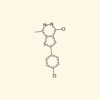 Cc1nnc(Cl)c2cc(-c3ccc(Cl)cc3)sc12